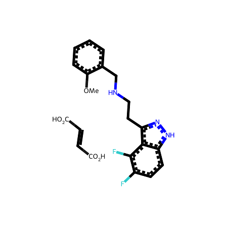 COc1ccccc1CNCCc1n[nH]c2ccc(F)c(F)c12.O=C(O)/C=C/C(=O)O